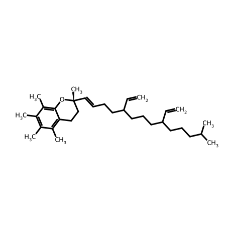 C=CC(CCC=C[C@]1(C)CCc2c(C)c(C)c(C)c(C)c2O1)CCCC(C=C)CCCC(C)C